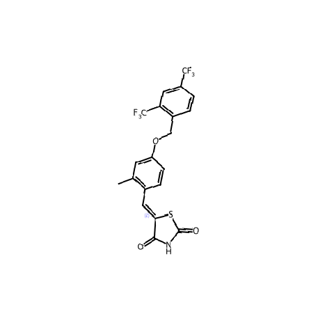 Cc1cc(OCc2ccc(C(F)(F)F)cc2C(F)(F)F)ccc1/C=C1\SC(=O)NC1=O